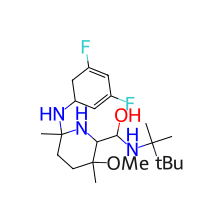 COC1(C)CCC(C)(NC2C=C(F)C=C(F)C2)NC1C(O)NC(C)(C)C(C)(C)C